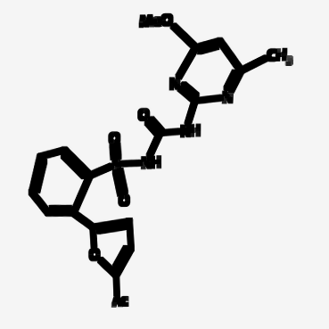 COc1cc(C)nc(NC(=O)NS(=O)(=O)c2ccccc2-c2ccc(C(C)=O)o2)n1